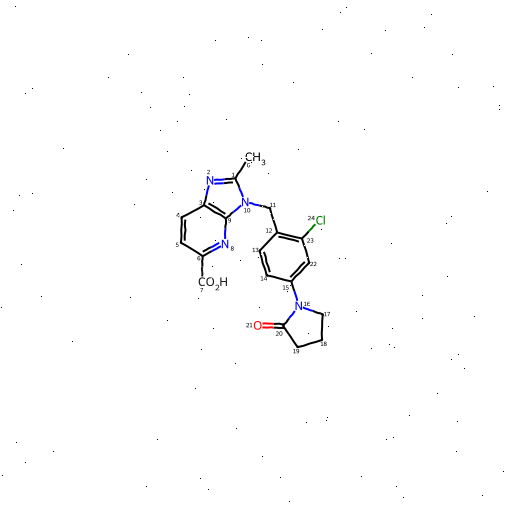 Cc1nc2ccc(C(=O)O)nc2n1Cc1ccc(N2CCCC2=O)cc1Cl